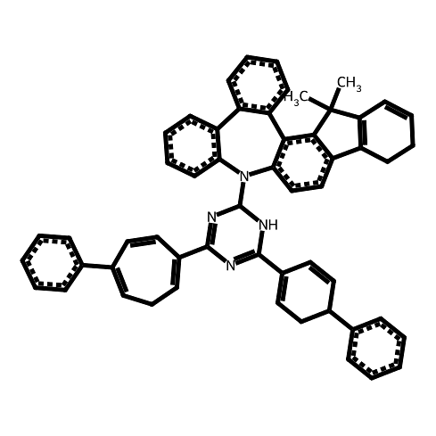 CC1(C)C2=C(CCC=C2)c2ccc3c(c21)-c1ccccc1-c1ccccc1N3C1N=C(C2=CCC=C(c3ccccc3)C=C2)N=C(C2=CCC(c3ccccc3)C=C2)N1